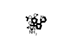 COc1ccc(C2(c3cccc(-c4cccnc4)c3)N=C(N)N(C)C2=O)cc1OC(C)C